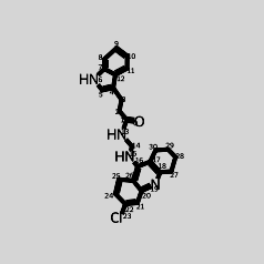 O=C(CCc1c[nH]c2ccccc12)NCNc1c2c(nc3cc(Cl)ccc13)CCCC2